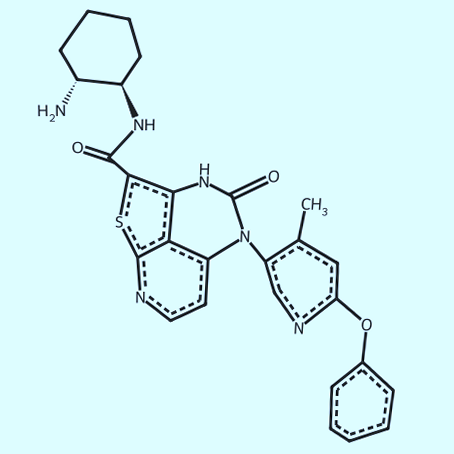 Cc1cc(Oc2ccccc2)ncc1N1C(=O)Nc2c(C(=O)N[C@@H]3CCCC[C@H]3N)sc3nccc1c23